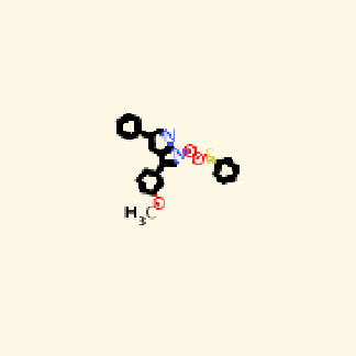 COc1cccc(-c2cn(OOSc3ccccc3)c3ncc(-c4ccccc4)cc23)c1